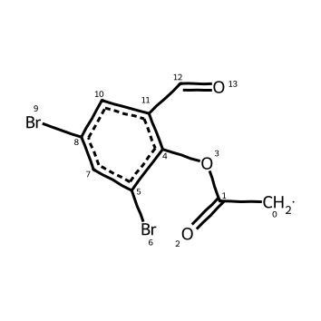 [CH2]C(=O)Oc1c(Br)cc(Br)cc1C=O